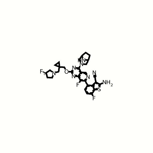 N#Cc1c(N)sc2c(F)ccc(-c3ncc4c(N5CC6CCC(C5)N6)nc(OCC5(CN6CC[C@@H](F)C6)CC5)nc4c3F)c12